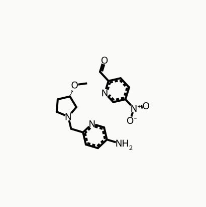 CO[C@H]1CCN(Cc2ccc(N)cn2)C1.O=Cc1ccc([N+](=O)[O-])cn1